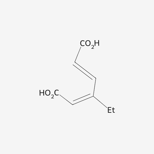 CCC(C=CC(=O)O)=CC(=O)O